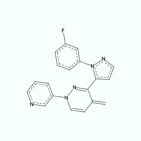 C=C1C=CN(c2cccnc2)N=C1c1ccnn1-c1cccc(F)c1